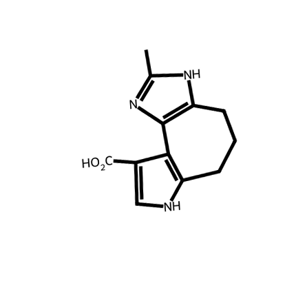 Cc1nc2c([nH]1)CCCc1[nH]cc(C(=O)O)c1-2